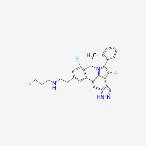 Cc1ccccc1-c1c(F)c2c3cn[nH]c3cc3c2n1Cc1c(F)cc(CCNCCCF)cc1-3